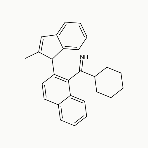 CC1=Cc2ccccc2C1c1ccc2ccccc2c1C(=N)C1CCCCC1